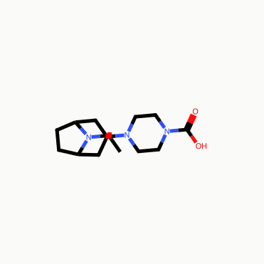 CCN1C2CCC1CC(N1CCN(C(=O)O)CC1)C2